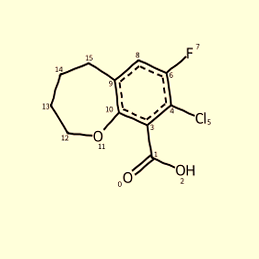 O=C(O)c1c(Cl)c(F)cc2c1OCCCC2